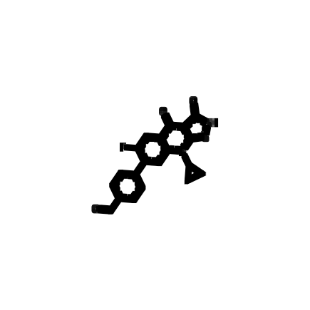 O=Cc1ccc(-c2cc3c(cc2F)c(=O)c2c(=O)[nH]sc2n3C2CC2)cc1